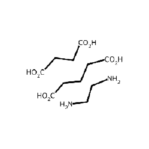 NCCN.O=C(O)CCC(=O)O.O=C(O)CCCC(=O)O